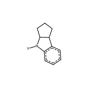 [Y][N]1c2ccccc2C2CCCC21